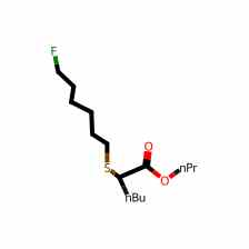 CCCCC(SCCCCCCF)C(=O)OCCC